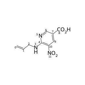 C=CCNc1ncc(C(=O)O)cc1[N+](=O)[O-]